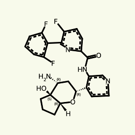 N[C@@H]1C[C@H](c2ccncc2NC(=O)c2ccc(F)c(-c3c(F)cccc3F)n2)O[C@@H]2CCC[C@]12O